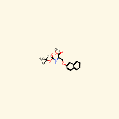 COC(=O)C(COc1ccc2ccccc2c1)NC(=O)OC(C)(C)C